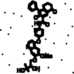 COc1cc2c(Oc3ccc(NC(=O)c4cc5c(n(-c6ccccc6)c4=O)CCCC5=O)nc3)ccnc2cc1OC[C@@H](O)C(C)(C)O